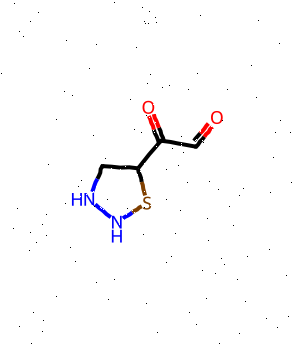 O=CC(=O)C1CNNS1